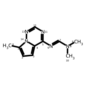 Cc1ccc2c(/N=C/N(C)C)ncnn12